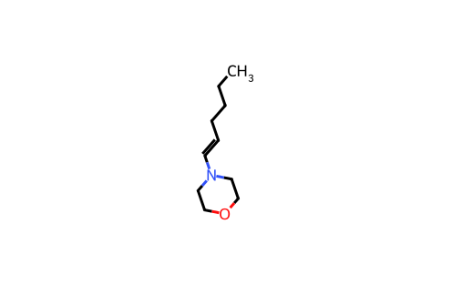 CCCC/C=C/N1CCOCC1